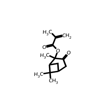 C=C(C)C(=O)OC1(C)C(=O)CC2CC1C2(C)C